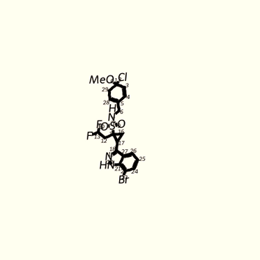 COC1(Cl)C=CC(CNS(=O)(=O)C2(CC(F)F)CC2c2n[nH]c3c(Br)cccc23)=CC1